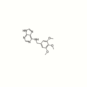 COc1cc(CNc2ncnc3[nH]cnc23)cc(OC)c1OC